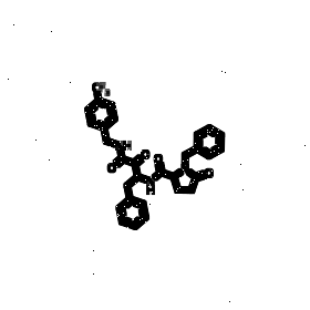 O=C(NCc1ccc(C(F)(F)F)cc1)C(=O)C(Cc1ccccc1)NC(=O)C1CCC(=O)N1Cc1ccccc1